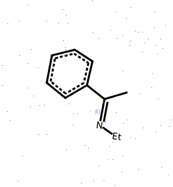 CC/N=C(\C)c1ccccc1